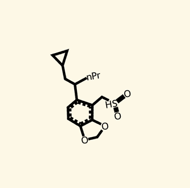 CCCC(CC1CC1)c1ccc2c(c1C[SH](=O)=O)OCO2